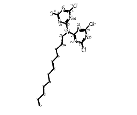 CCCCCCCCCCCCN(c1nc(Cl)nc(Cl)n1)c1nc(Cl)nc(Cl)n1